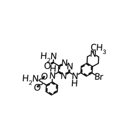 CN1CCc2c(Br)cc(Nc3nnc(C(N)=O)c(Nc4ccccc4S(N)(=O)=O)n3)cc2C1